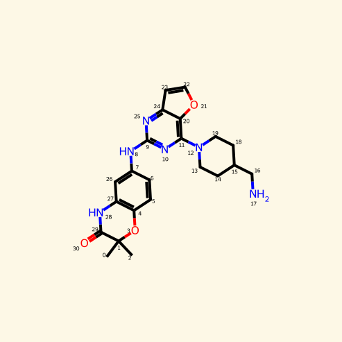 CC1(C)Oc2ccc(Nc3nc(N4CCC(CN)CC4)c4occc4n3)cc2NC1=O